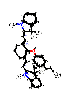 CN1/C(=C/C=C2\CCCC(/C=C/C3=[N+](C)c4ccccc4C3(C)C)=C2Oc2ccc(CCC(=O)O)cc2)C(C)(C)c2ccccc21